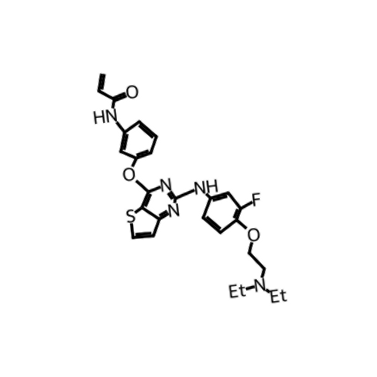 C=CC(=O)Nc1cccc(Oc2nc(Nc3ccc(OCCN(CC)CC)c(F)c3)nc3ccsc23)c1